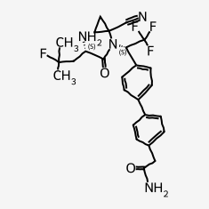 CC(C)(F)C[C@H](N)C(=O)N([C@@H](c1ccc(-c2ccc(CC(N)=O)cc2)cc1)C(F)(F)F)C1(C#N)CC1